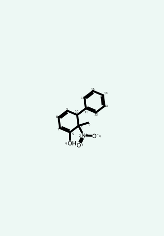 CC1([N+](=O)[O-])C(O)=CC=CC1c1ccccc1